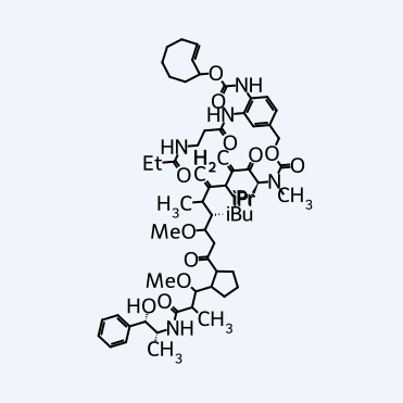 C=C(C(=O)[C@H](C(C)C)N(C)C(=O)OCc1ccc(NC(=O)OC2/C=C/CCCCC2)c(NC(=O)CCNC(=O)CC)c1)C(C(=C)C(C)C(C(CC(=O)C1CCCC1C(OC)C(C)C(=O)N[C@H](C)[C@@H](O)c1ccccc1)OC)[C@@H](C)CC)C(C)C